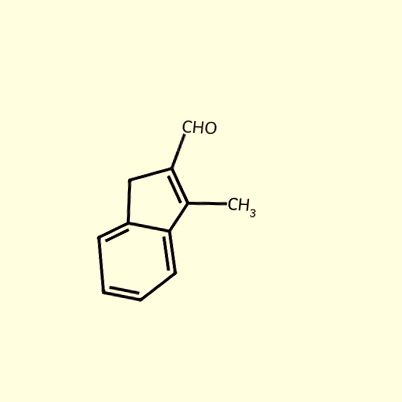 CC1=C(C=O)Cc2ccccc21